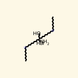 Br.CCCCCCCC/C=C\CCCCCCCCC(CN)C(CCO)CCCCCCCC/C=C\CCCCCCCC